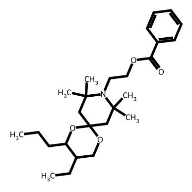 CCCC1OC2(CC(C)(C)N(CCOC(=O)c3ccccc3)C(C)(C)C2)OCC1CC